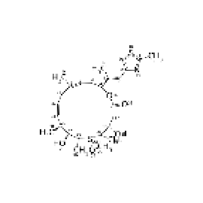 C/C1=C/C[C@@H](/C(C)=C/c2csc(C)n2)OC(=O)C[C@H](O)C(C)(C)[S+]([O-])[C@H](C)[C@@H](O)[C@@H](C)/C=C\C1